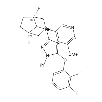 COc1cc(N2C[C@H]3CC[C@@H](C2)C3Nc2nc(Oc3cccc(F)c3F)n(C(C)C)n2)cnn1